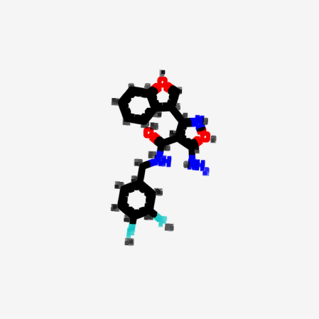 Nc1onc(-c2coc3ccccc23)c1C(=O)NCc1ccc(F)c(F)c1